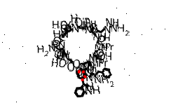 CC[C@H](C)[C@@H]1NC(=O)[C@@H](CCCNC(=N)N)NC(=O)[C@H](CC(C)C)NC(=O)[C@H]([C@H](O)C(C)C)NC(=O)[C@@H](NC(=O)[C@H](Cc2c[nH]c3ccccc23)NC(=O)[C@@H](N)CC2CCCCC2)[C@@H](c2ccccc2)OC(=O)[C@H](CO)NC(=O)[C@H]([C@H](O)C(N)=O)NC(=O)CNC(=O)[C@H]([C@H](C)O)NC1=O